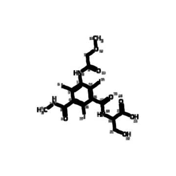 CNC(=O)c1c(I)c(NC(=O)COC)c(I)c(C(=O)NC(CO)C(=O)O)c1I